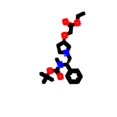 CCOC(=O)CO[C@H]1CCN(C[C@H](c2ccccc2)N(C)C(=O)OC(C)(C)C)C1